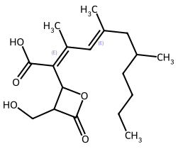 CCCCC(C)C/C(C)=C/C(C)=C(/C(=O)O)C1OC(=O)C1CO